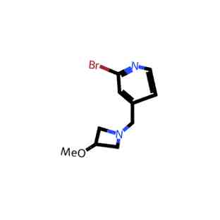 COC1CN(Cc2ccnc(Br)c2)C1